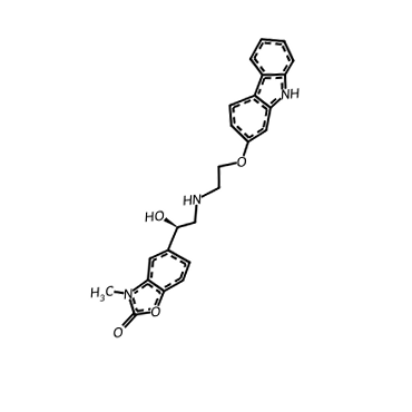 Cn1c(=O)oc2ccc([C@@H](O)CNCCOc3ccc4c(c3)[nH]c3ccccc34)cc21